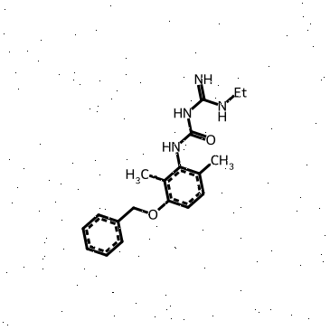 CCNC(=N)NC(=O)Nc1c(C)ccc(OCc2ccccc2)c1C